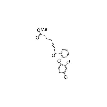 COC(=O)CCCC#CC(=O)c1ccccc1Oc1ccc(Cl)cc1Cl